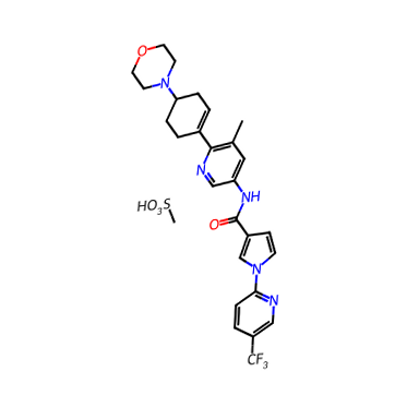 CS(=O)(=O)O.Cc1cc(NC(=O)c2ccn(-c3ccc(C(F)(F)F)cn3)c2)cnc1C1=CCC(N2CCOCC2)CC1